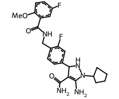 COc1ccc(F)cc1C(=O)NCc1ccc(C2NN(C3CCCC3)C(N)=C2C(N)=O)cc1F